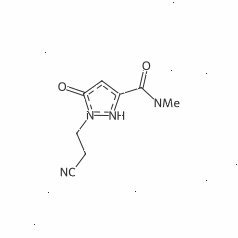 CNC(=O)c1cc(=O)n(CCC#N)[nH]1